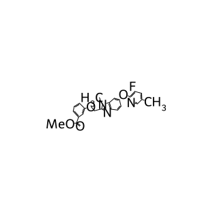 COC(=O)c1cccc(OCc2nc3ccc(Oc4ncc(C)cc4F)cc3n2C)c1